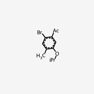 CC(=O)c1cc(OC(C)C)c(C)cc1Br